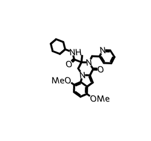 COc1ccc(OC)c2c1cc1n2CC(C)(C(=O)NC2CCCCC2)N(Cc2ccccn2)C1=O